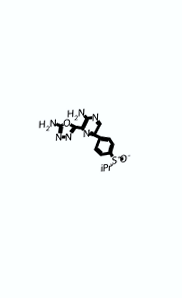 CC(C)[S+]([O-])c1ccc(-c2cnc(N)c(-c3nnc(N)o3)n2)cc1